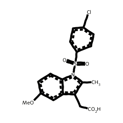 COc1ccc2c(c1)c(CC(=O)O)c(C)n2S(=O)(=O)c1ccc(Cl)cc1